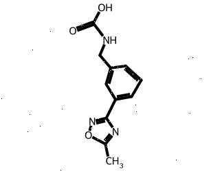 Cc1nc(-c2cccc(CNC(=O)O)c2)no1